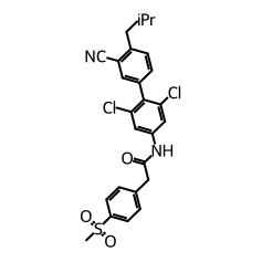 CC(C)Cc1ccc(-c2c(Cl)cc(NC(=O)Cc3ccc(S(C)(=O)=O)cc3)cc2Cl)cc1C#N